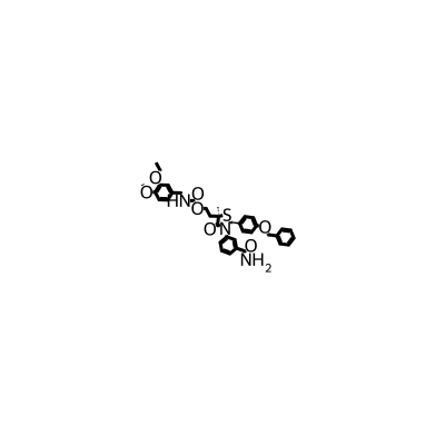 CCOc1cc(CNC(=O)OCC[C@@]2(C)S[C@@H](c3ccc(OCc4ccccc4)cc3)N(c3cccc(C(N)=O)c3)C2=O)ccc1OC